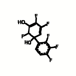 OC1=C(F)C(F)=CC(O)(c2ccc(F)c(F)c2F)C1F